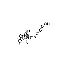 Cc1cc(C)c(-c2cccc(C(CC(=O)O)NC(=O)C(CCC(C)C)n3ccc(CCN(C)CCOCCOCCOCCO)cc3=O)c2)c(C)c1